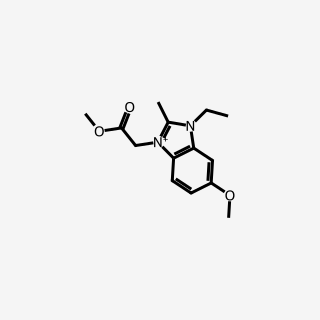 CCn1c(C)[n+](CC(=O)OC)c2ccc(OC)cc21